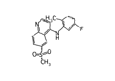 Cc1ccc(F)cc1Nc1ccnc2ccc(S(C)(=O)=O)cc12